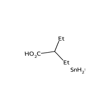 CCC(CC)C(=O)O.[SnH2]